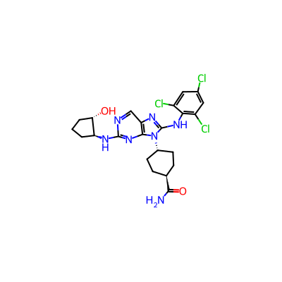 NC(=O)[C@H]1CC[C@H](n2c(Nc3c(Cl)cc(Cl)cc3Cl)nc3cnc(N[C@H]4CCC[C@@H]4O)nc32)CC1